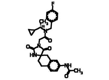 CC(=O)Nc1ccc2c(c1)CC1(CC2)NC(=O)N(CC(=O)N(Cc2ccc(F)cc2)[C@@H](C)C2CC2)C1=O